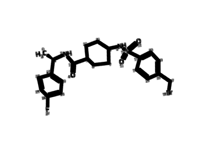 C[C@@H](NC(=O)C1CCC(NS(=O)(=O)c2ccc(CBr)cc2)CC1)c1ccc(F)cc1